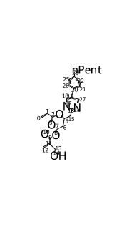 C=CC(=O)OC(CCOC(=O)C(=C)CO)Cc1ncc(-c2ccc(CCCCC)cc2)cn1